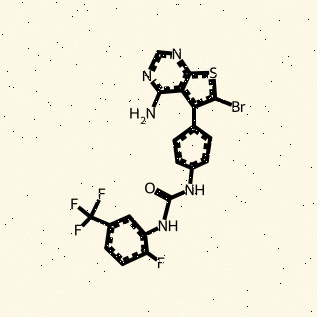 Nc1ncnc2sc(Br)c(-c3ccc(NC(=O)Nc4cc(C(F)(F)F)ccc4F)cc3)c12